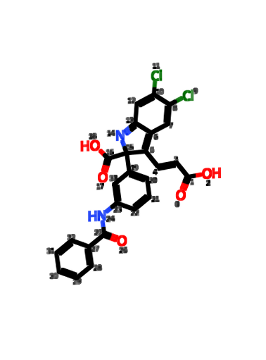 O=C(O)C=CC1=c2cc(Cl)c(Cl)cc2=NC1(C(=O)O)c1cccc(NC(=O)c2ccccc2)c1